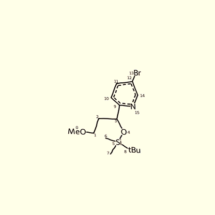 COCCC(O[Si](C)(C)C(C)(C)C)c1ccc(Br)cn1